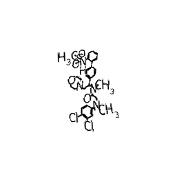 CN(CC(=O)N(C)C(CN1CCOCC1)c1ccc(-c2ccccc2NS(C)(=O)=O)cc1)c1ccc(Cl)c(Cl)c1